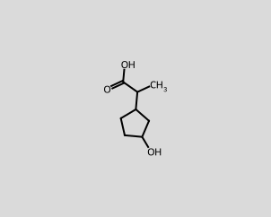 CC(C(=O)O)C1CCC(O)C1